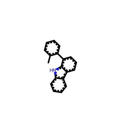 Cc1ccccc1-c1cccc2c1[nH]c1ccccc12